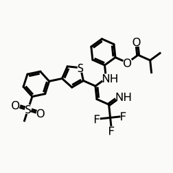 CC(C)C(=O)Oc1ccccc1N/C(=C\C(=N)C(F)(F)F)c1cc(-c2cccc(S(C)(=O)=O)c2)cs1